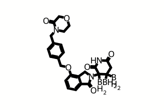 BC1(B)CC(=O)NC(=O)C1(B)N1Cc2c(OCc3ccc(CN4CCOCC4=O)cc3)cccc2C1=O